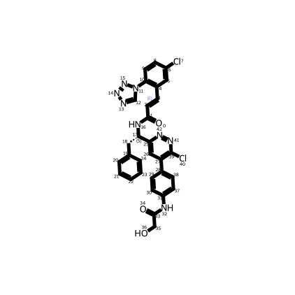 O=C(/C=C/c1cc(Cl)ccc1-n1cnnn1)N[C@@H](Cc1ccccc1)c1cc(-c2ccc(NC(=O)CO)cc2)c(Cl)nn1